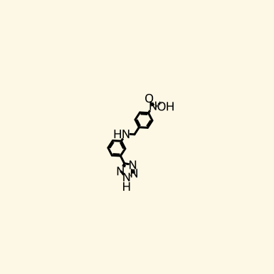 O=[N+](O)c1ccc(CNc2cccc(-c3nn[nH]n3)c2)cc1